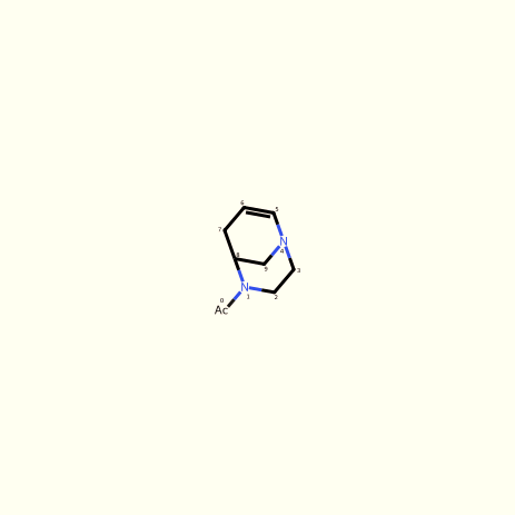 CC(=O)N1CCN2C=CCC1C2